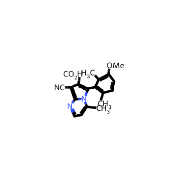 COc1ccc(C)c(-c2c(C(=O)O)c(C#N)c3nccc(C)n23)c1C